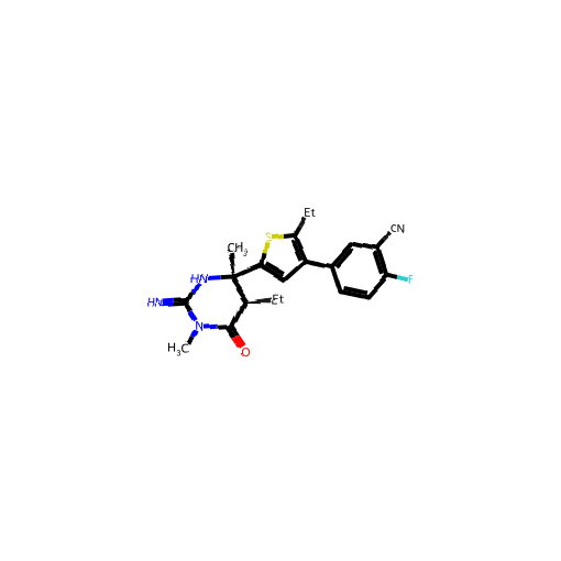 CCc1sc([C@@]2(C)NC(=N)N(C)C(=O)[C@@H]2CC)cc1-c1ccc(F)c(C#N)c1